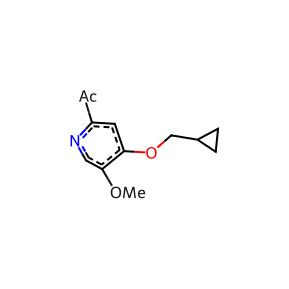 COc1cnc(C(C)=O)cc1OCC1CC1